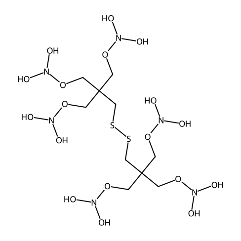 ON(O)OCC(CON(O)O)(CON(O)O)CSSCC(CON(O)O)(CON(O)O)CON(O)O